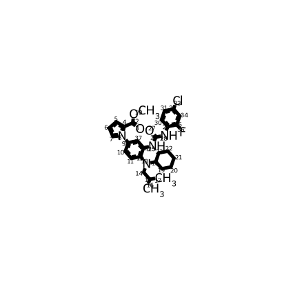 COC(=O)c1cccn1-c1ccc(N(CC(C)C)C2CCCCC2)c(NC(=O)Nc2ccc(Cl)cc2F)c1